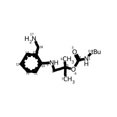 CC(C)(C)NC(=O)OC(C)(C)CNc1ccccc1CN